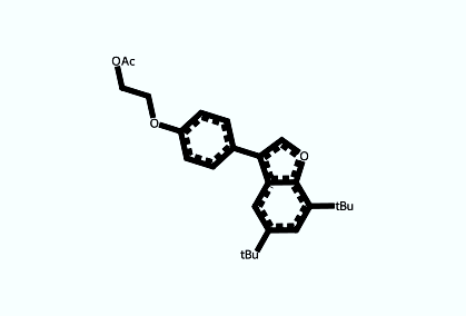 CC(=O)OCCOc1ccc(-c2coc3c(C(C)(C)C)cc(C(C)(C)C)cc23)cc1